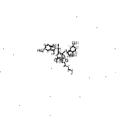 CCCCCC(=O)NNC(=O)[C@H](Cc1c[nH]c2ccc(O)cc12)NC(=O)Cc1c[nH]c2ccc(O)cc12